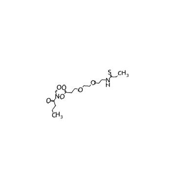 CCCC(=O)N(C=O)OC(=O)CCOCCOCCNC(=S)CC